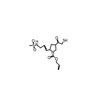 C=CCOC(=O)N1CC(C(=O)CS)CC1C=CCNS(C)(=O)=O